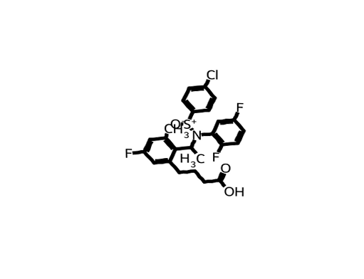 Cc1cc(F)cc(CCCC(=O)O)c1C(C)N(c1cc(F)ccc1F)[S+]([O-])c1ccc(Cl)cc1